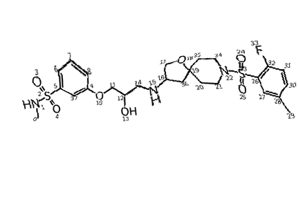 CNS(=O)(=O)c1cccc(OCC(O)CNC2COC3(CCN(S(=O)(=O)c4cc(C)ccc4F)CC3)C2)c1